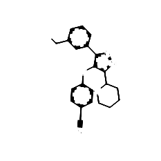 N#Cc1ccc(Oc2c(-c3cccc(CO)c3)n[nH]c2C2CCCCO2)cc1